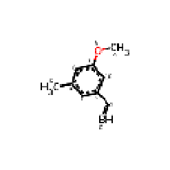 B=Cc1cc(C)cc(OC)c1